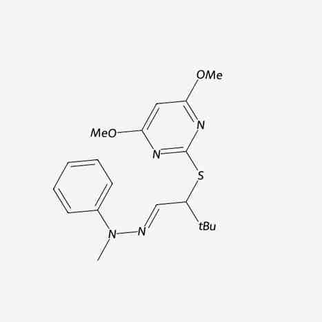 COc1cc(OC)nc(SC(/C=N/N(C)c2ccccc2)C(C)(C)C)n1